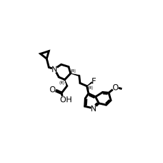 COc1ccc2nccc([C@H](F)CC[C@@H]3CCN(CC4CC4)C[C@@H]3CC(=O)O)c2c1